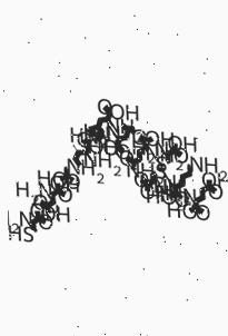 CC(C)C[C@H](N)C(=O)O.CC[C@H](C)[C@H](N)C(=O)O.NC(=O)CC[C@H](N)C(=O)O.NC(CSSC[C@H](N)C(=O)O)C(=O)O.NCC(=O)O.NCCCC[C@H](N)C(=O)O.N[C@@H](CC(=O)O)C(=O)O.N[C@@H](CCC(=O)O)C(=O)O.N[C@@H](CS)C(=O)O.N[C@@H](Cc1c[nH]cn1)C(=O)O